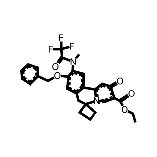 CCOC(=O)c1cn2c(cc1=O)-c1cc(N(C)C(=O)C(F)(F)F)c(OCc3ccccc3)cc1CC21CCC1